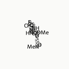 CNC(=O)CCCCCOc1cc2c(cc1OC)C(Nc1ccc(F)c(Cl)c1)=NCN2